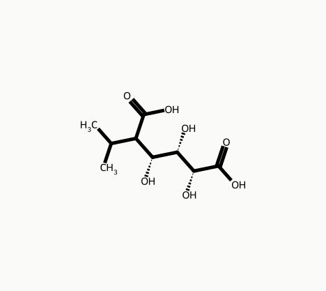 CC(C)C(C(=O)O)[C@@H](O)[C@H](O)[C@@H](O)C(=O)O